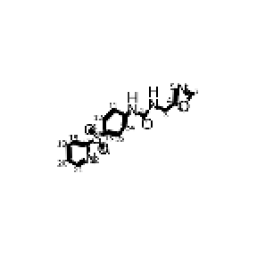 O=C(NCc1cnco1)Nc1ccc(S(=O)(=O)c2ccccn2)cc1